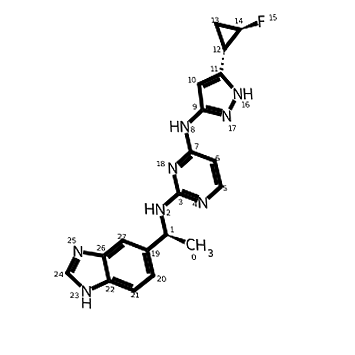 C[C@H](Nc1nccc(Nc2cc([C@@H]3C[C@H]3F)[nH]n2)n1)c1ccc2[nH]cnc2c1